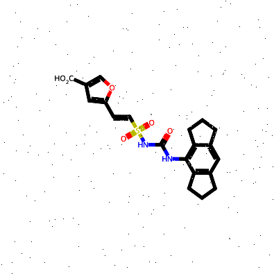 O=C(Nc1c2c(cc3c1CCC3)CCC2)NS(=O)(=O)/C=C/c1cc(C(=O)O)co1